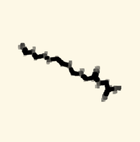 O=COCOOCCOCOCC(=O)OCC(=O)O